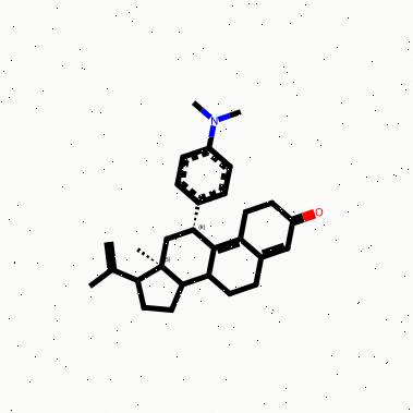 C=C(C)C1CCC2C3CCC4=CC(=O)CCC4=C3[C@@H](c3ccc(N(C)C)cc3)C[C@]12C